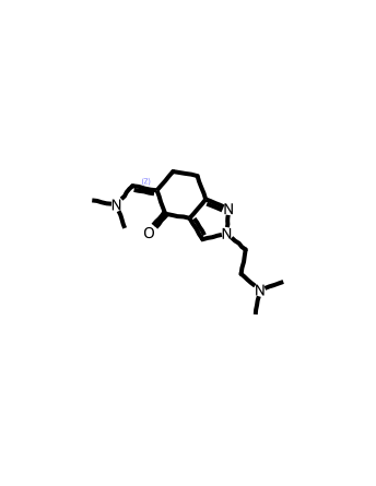 CN(C)/C=C1/CCc2nn(CCN(C)C)cc2C1=O